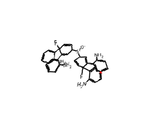 Nc1ccccc1C1=CC([S+]([O-])C2C=CC(F)(c3ccccc3N)C(c3ccccc3N)=C2)C=CC1(F)c1ccccc1N